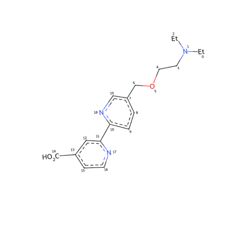 CCN(CC)CCOCc1ccc(-c2cc(C(=O)O)ccn2)nc1